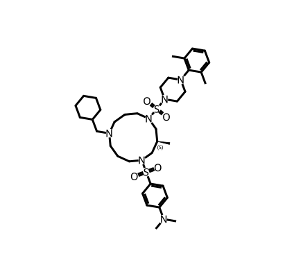 Cc1cccc(C)c1N1CCN(S(=O)(=O)N2CCCN(CC3CCCCC3)CCCN(S(=O)(=O)c3ccc(N(C)C)cc3)C[C@H](C)C2)CC1